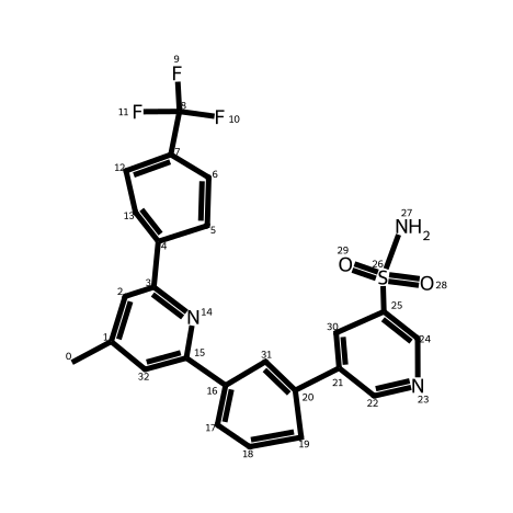 Cc1cc(-c2ccc(C(F)(F)F)cc2)nc(-c2cccc(-c3cncc(S(N)(=O)=O)c3)c2)c1